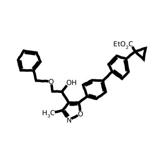 CCOC(=O)C1(c2ccc(-c3ccc(-c4onc(C)c4C(O)COCc4ccccc4)cc3)cc2)CC1